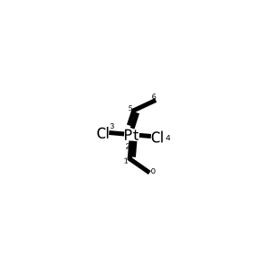 C[CH]=[Pt]([Cl])([Cl])=[CH]C